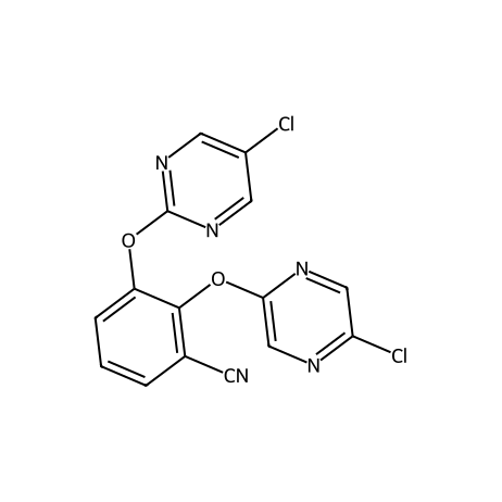 N#Cc1cccc(Oc2ncc(Cl)cn2)c1Oc1cnc(Cl)cn1